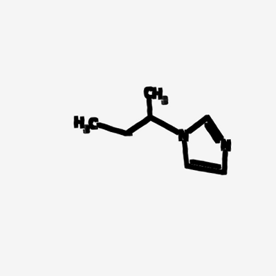 C[CH]C(C)n1ccnc1